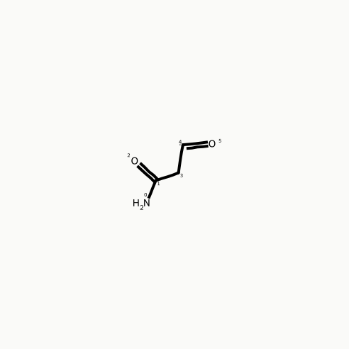 NC(=O)C[C]=O